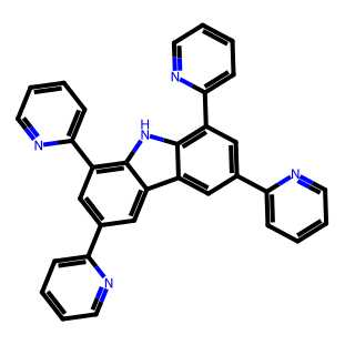 c1ccc(-c2cc(-c3ccccn3)c3[nH]c4c(-c5ccccn5)cc(-c5ccccn5)cc4c3c2)nc1